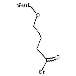 CCCCCOCCCC(=O)CC